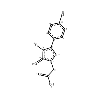 O=C(O)Cn1nc(-c2ccc(Cl)cc2)n(F)c1=O